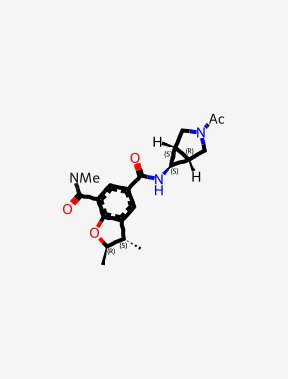 CNC(=O)c1cc(C(=O)N[C@H]2[C@@H]3CN(C(C)=O)C[C@@H]32)cc2c1O[C@H](C)[C@H]2C